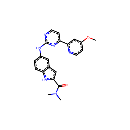 COc1ccnc(-c2ccnc(Nc3ccc4[nH]c(C(=O)N(C)C)cc4c3)n2)c1